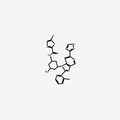 O=C(NC1CC(O)CC(n2c(-c3ccccc3F)nc3cnc(-c4nc[nH]n4)cc32)C1)c1ncc(Cl)s1